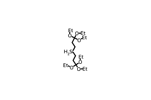 CCOC(CC[SiH2]CCC(OCC)(OCC)OCC)(OCC)OCC